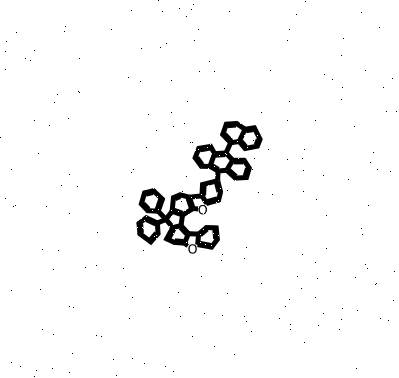 c1ccc(C2(c3ccccc3)c3ccc4c(oc5ccc(-c6c7ccccc7c(-c7cccc8ccccc78)c7ccccc67)cc54)c3-c3c2ccc2oc4ccccc4c32)cc1